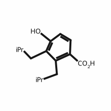 CC(C)Cc1c(O)ccc(C(=O)O)c1CC(C)C